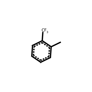 Cc1c[c]c[c]c1C(F)(F)F